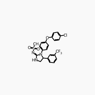 CS(=O)(=O)N=C1NCC(c2cccc(C(F)(F)F)c2)N1c1ccc(Oc2ccc(Cl)cc2)cc1